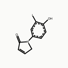 O=C1C=CCN1c1ccc(O)c(I)c1